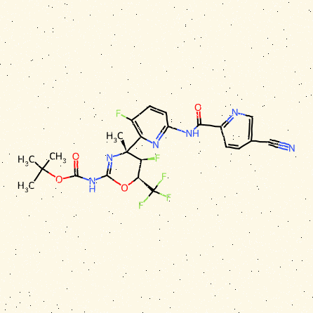 CC(C)(C)OC(=O)NC1=N[C@](C)(c2nc(NC(=O)c3ccc(C#N)cn3)ccc2F)[C@@H](F)[C@@H](C(F)(F)F)O1